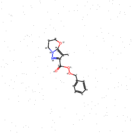 Cc1c(C(=O)OOCc2ccccc2)nn2c1OCCC2